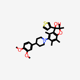 COc1ccc(C2CCN(c3c(C)c(C)c4c(c3C)C(O)(c3ccsc3)C(C)(C)O4)CC2)cc1OC